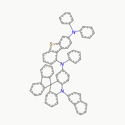 c1ccc(N(c2ccccc2)c2ccc3c(c2)sc2cccc(N(c4ccccc4)c4ccc5c(c4)C4(c6ccccc6-c6ccccc64)c4ccccc4N5c4ccc5ccccc5c4)c23)cc1